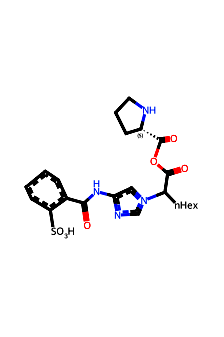 CCCCCCC(C(=O)OC(=O)[C@@H]1CCCN1)n1cnc(NC(=O)c2ccccc2S(=O)(=O)O)c1